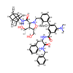 COc1c(CN2O[C@@H](CO)[C@@H]([C@H](C)O)[C@H]2C(=O)N[C@H]2C[C@H]3C[C@@H]([C@@H]2C)C3(C)C)cccc1-c1cc(C(=O)N[C@H](Cc2ccccc2)C(=O)NCc2ccccc2)cc(N(C)C)c1